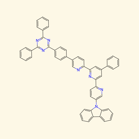 c1ccc(-c2cc(-c3ccc(-c4ccc(-c5nc(-c6ccccc6)nc(-c6ccccc6)n5)cc4)cn3)nc(-c3ccc(-n4c5ccccc5c5ccccc54)cn3)c2)cc1